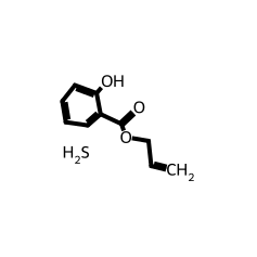 C=CCOC(=O)c1ccccc1O.S